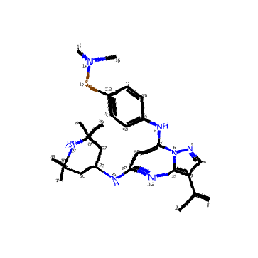 CC(C)c1cnn2c(Nc3ccc(SN(C)C)cc3)cc(NC3CC(C)(C)NC(C)(C)C3)nc12